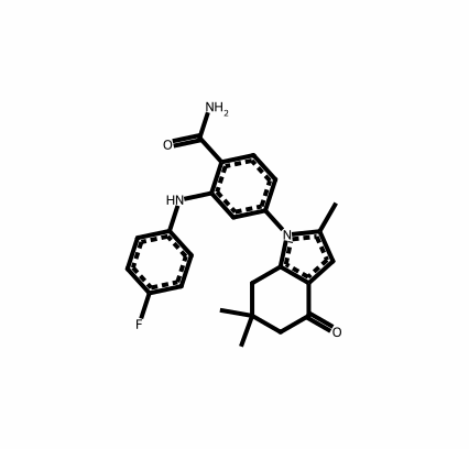 Cc1cc2c(n1-c1ccc(C(N)=O)c(Nc3ccc(F)cc3)c1)CC(C)(C)CC2=O